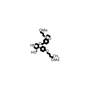 COCCCN1CCOc2ccc(CO[C@H]3CNC[C@@H](CO)[C@@H]3c3ccc(OCCC[C@@H](C)OC)cc3)cc21